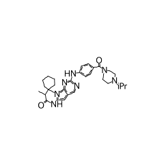 CC(C)N1CCN(C(=O)c2ccc(Nc3ncc4cc5n(c4n3)C3(CCCCC3)C(C)C(=O)N5)cc2)CC1